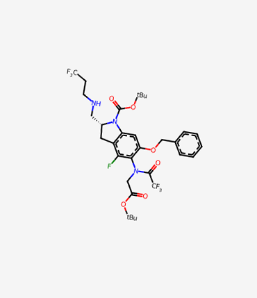 CC(C)(C)OC(=O)CN(C(=O)C(F)(F)F)c1c(OCc2ccccc2)cc2c(c1F)C[C@H](CNCCC(F)(F)F)N2C(=O)OC(C)(C)C